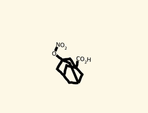 O=C(O)C12CC3CC(CC(O[N+](=O)[O-])(C3)C1)C2